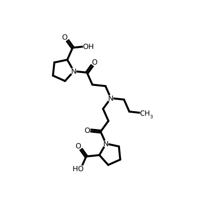 CCCN(CCC(=O)N1CCCC1C(=O)O)CCC(=O)N1CCCC1C(=O)O